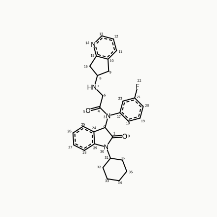 O=C1C(N(C(=O)CNC2Cc3cccnc3C2)c2cccc(F)c2)c2ccccc2N1C1CCCCC1